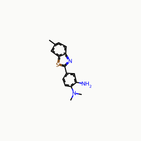 Cc1ccc2nc(-c3ccc(N(C)C)c(N)c3)sc2c1